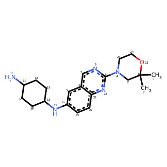 CC1(C)CN(c2ncc3cc(NC4CCC(N)CC4)ccc3n2)CCO1